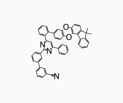 CC1(C)c2ccccc2-c2c1ccc1c2Oc2ccc(-c3ccccc3-c3cc(-c4ccccc4)nc(-c4cccc(-c5cccc(C#N)c5)c4)n3)cc2O1